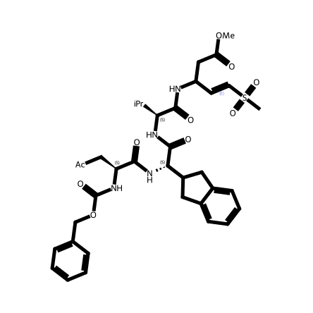 COC(=O)CC(/C=C/S(C)(=O)=O)NC(=O)[C@@H](NC(=O)[C@@H](NC(=O)[C@H](CC(C)=O)NC(=O)OCc1ccccc1)C1Cc2ccccc2C1)C(C)C